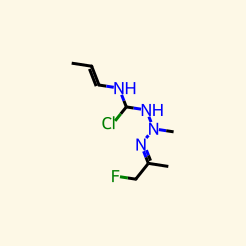 C/C=C/NC(Cl)NN(C)/N=C(\C)CF